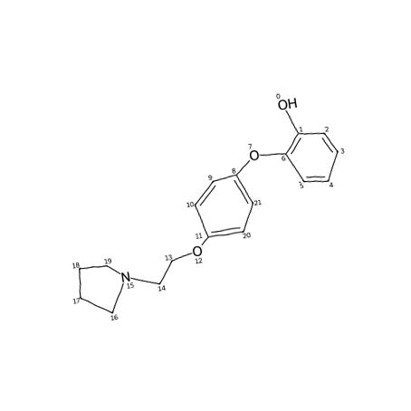 Oc1ccc[c]c1Oc1ccc(OCCN2CCCC2)cc1